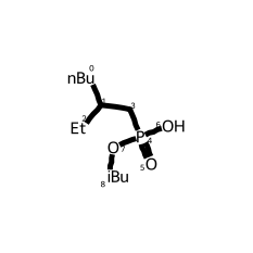 CCCCC(CC)CP(=O)(O)OC(C)CC